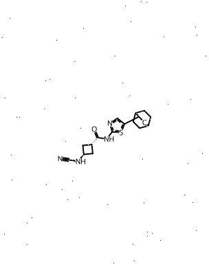 N#CN[C@H]1C[C@H](C(=O)Nc2ncc(C3CC4CCC3CC4)s2)C1